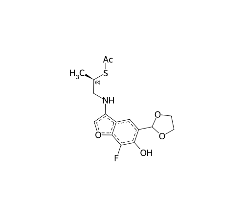 CC(=O)S[C@H](C)CNc1coc2c(F)c(O)c(C3OCCO3)cc12